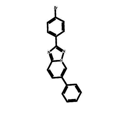 Brc1ccc(-c2nc3ccc(-c4ccccc4)cn3n2)cc1